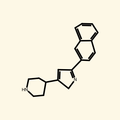 C1=C(C2CCNCC2)CN=C1c1ccc2ccccc2c1